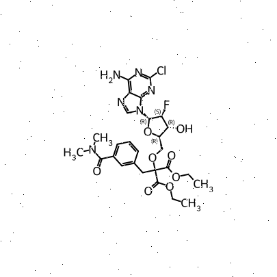 CCOC(=O)C(Cc1cccc(C(=O)N(C)C)c1)(OC[C@H]1O[C@@H](n2cnc3c(N)nc(Cl)nc32)[C@@H](F)[C@@H]1O)C(=O)OCC